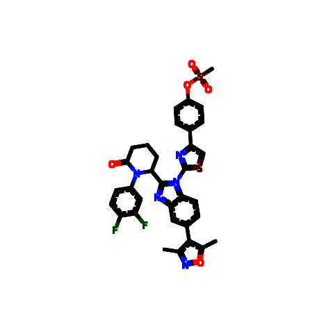 Cc1noc(C)c1-c1ccc2c(c1)nc(C1CCCC(=O)N1c1ccc(F)c(F)c1)n2-c1nc(-c2ccc(OS(C)(=O)=O)cc2)cs1